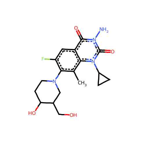 Cc1c(N2CCC(O)C(CO)C2)c(F)cc2c(=O)n(N)c(=O)n(C3CC3)c12